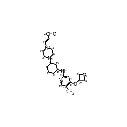 O=CC=CN1CCN(C2CCCC(Nc3ncc(C(F)(F)F)c(OC4COC4)n3)C2)CC1